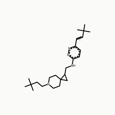 CC(C)(C)/C=C/c1ccc(NCC2CC23CCN(CCC(C)(C)C)CC3)nn1